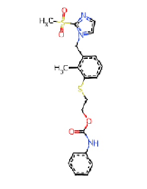 Cc1c(Cn2ccnc2S(C)(=O)=O)cccc1SCCOC(=O)Nc1ccccc1